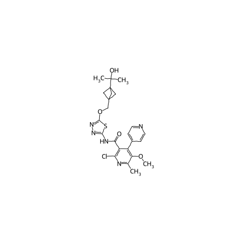 COc1c(C)nc(Cl)c(C(=O)Nc2nnc(OCC34CC(C(C)(C)O)(C3)C4)s2)c1-c1ccncc1